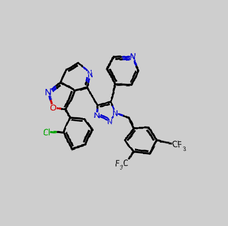 FC(F)(F)c1cc(Cn2nnc(-c3nccc4noc(-c5ccccc5Cl)c34)c2-c2ccncc2)cc(C(F)(F)F)c1